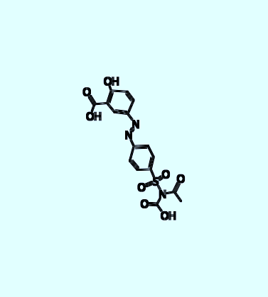 CC(=O)N(C(=O)O)S(=O)(=O)c1ccc(N=Nc2ccc(O)c(C(=O)O)c2)cc1